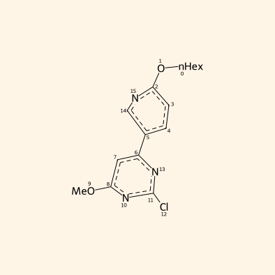 CCCCCCOc1ccc(-c2cc(OC)nc(Cl)n2)cn1